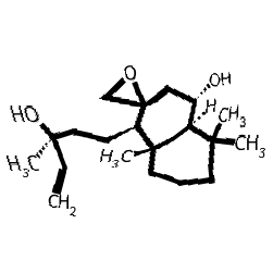 C=C[C@@](C)(O)CC[C@H]1C2(CO2)C[C@H](O)[C@H]2C(C)(C)CCC[C@@]21C